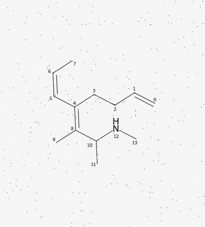 C=CCCC(/C=C\C)=C(/C)C(C)NC